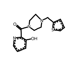 O=C(c1ncccc1O)N1CCN(Cc2cccs2)CC1